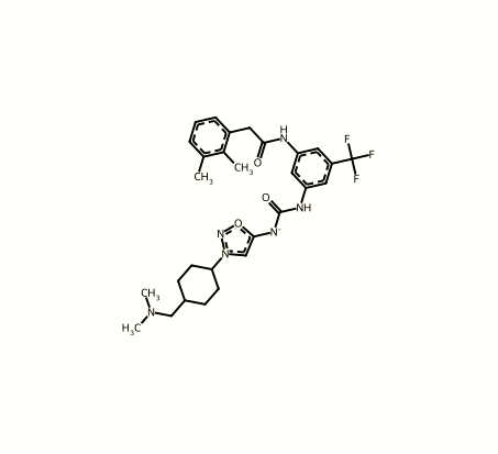 Cc1cccc(CC(=O)Nc2cc(NC(=O)[N-]c3c[n+](C4CCC(CN(C)C)CC4)no3)cc(C(F)(F)F)c2)c1C